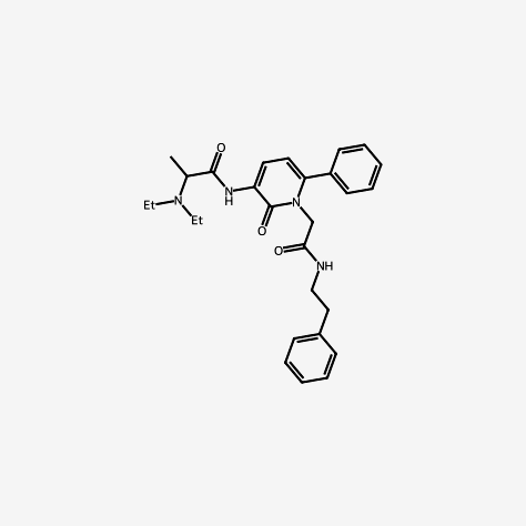 CCN(CC)C(C)C(=O)Nc1ccc(-c2ccccc2)n(CC(=O)NCCc2ccccc2)c1=O